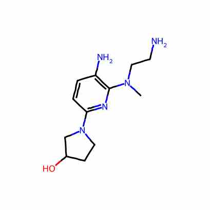 CN(CCN)c1nc(N2CCC(O)C2)ccc1N